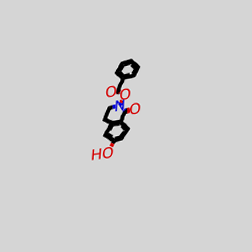 O=C(ON1CCc2cc(O)ccc2C1=O)c1ccccc1